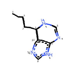 CCCC1NC=Nc2[nH]cnc21